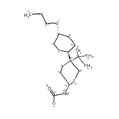 CCCO[C@H]1CC[C@H]([N+]2(C(C)(C)C)CCC(NC(=O)[O-])CC2)CC1